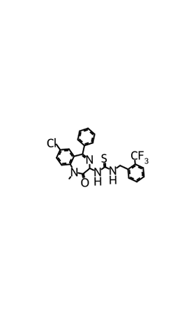 CN1C(=O)C(NC(=S)NCc2ccccc2C(F)(F)F)N=C(c2ccccc2)c2cc(Cl)ccc21